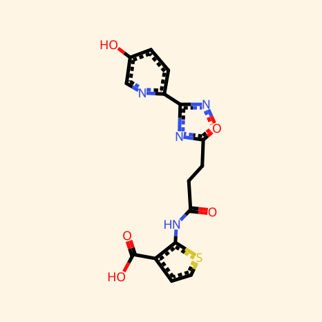 O=C(CCc1nc(-c2ccc(O)cn2)no1)Nc1sccc1C(=O)O